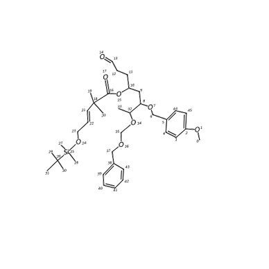 COc1ccc(COC(CC(CCC=O)OC(=O)C(C)(C)C=CCO[Si](C)(C)C(C)(C)C)C(C)OCOCc2ccccc2)cc1